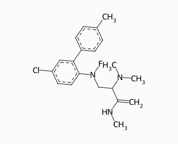 C=C(NC)C(CN(F)c1ccc(Cl)cc1-c1ccc(C)cc1)N(C)C